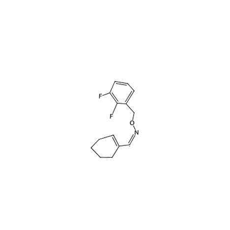 Fc1cccc(CO/N=[C]\C2=CCCCC2)c1F